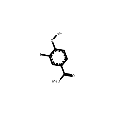 CCCOc1ccc(C(=O)OC)cc1I